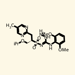 COc1cccc(OC)c1N/C(=N/S(=O)(=O)[C@H](COC(C)C)Cc1ncc(C)cn1)NN